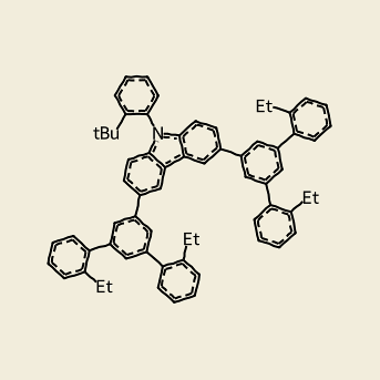 CCc1ccccc1-c1cc(-c2ccc3c(c2)c2cc(-c4cc(-c5ccccc5CC)cc(-c5ccccc5CC)c4)ccc2n3-c2ccccc2C(C)(C)C)cc(-c2ccccc2CC)c1